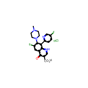 CN1CCN(c2c(F)cc3c(=O)c(C(=O)O)c[nH]c3c2-c2ccc(F)cn2)CC1.Cl